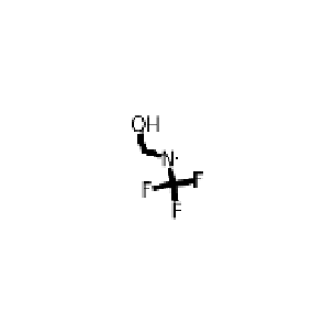 OC[N]C(F)(F)F